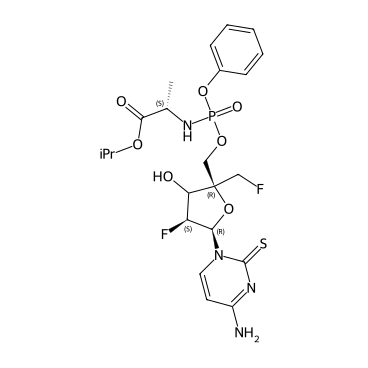 CC(C)OC(=O)[C@H](C)NP(=O)(OC[C@@]1(CF)O[C@@H](n2ccc(N)nc2=S)[C@@H](F)C1O)Oc1ccccc1